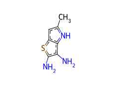 Cc1cc2sc(N)c(N)c2[nH]1